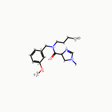 CN1C=NC(C(=O)N(CCCC=O)Cc2cccc(OC(F)(F)F)c2)C1